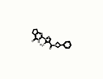 Cc1c(C(=O)N2CC(c3ccccc3)C2)cnn1-c1nc2c(c(=O)[nH]1)CCC2